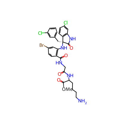 COC(=O)C(CCCCN)NC(=O)CNC(=O)c1ccc(Br)cc1N[C@]1(Cc2cccc(Cl)c2)C(=O)Nc2cc(Cl)ccc21